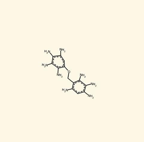 Nc1cc(OCc2c(N)cc(N)c(N)c2N)c(N)c(N)c1N